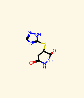 O=C1CC(Sc2n[c]n[nH]2)C(=O)NN1